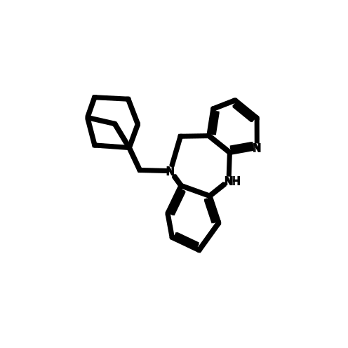 c1cnc2c(c1)CN(CC13CCCC(C1)C3)c1ccccc1N2